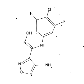 Nc1nonc1/C(=N/O)Nc1cc(F)c(Cl)c(F)c1